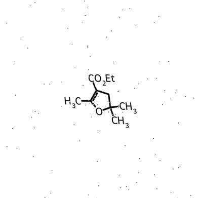 CCOC(=O)C1=C(C)OC(C)(C)C1